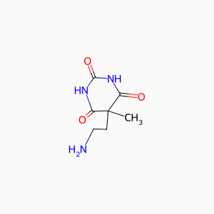 CC1(CCN)C(=O)NC(=O)NC1=O